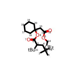 CCC(C)(C)CC(C(=O)OC1(CC(=O)OCC(F)(F)F)CCCCC1)C(C)(C)C